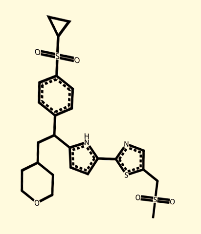 CS(=O)(=O)Cc1cnc(-c2ccc(C(CC3CCOCC3)c3ccc(S(=O)(=O)C4CC4)cc3)[nH]2)s1